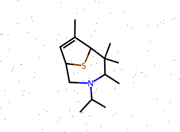 CC1=CC2CN(C(C)C)C(C)C(C)(C)C1S2